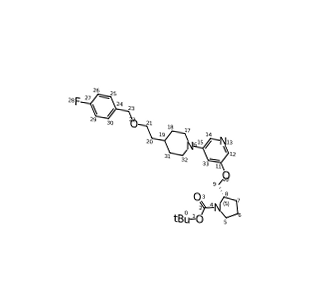 CC(C)(C)OC(=O)N1CCC[C@H]1COc1cncc(N2CCC(CCOCc3ccc(F)cc3)CC2)c1